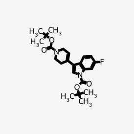 CC(C)(C)OC(=O)N1CC=C(c2cn(C(=O)OC(C)(C)C)c3cc(F)ccc23)CC1